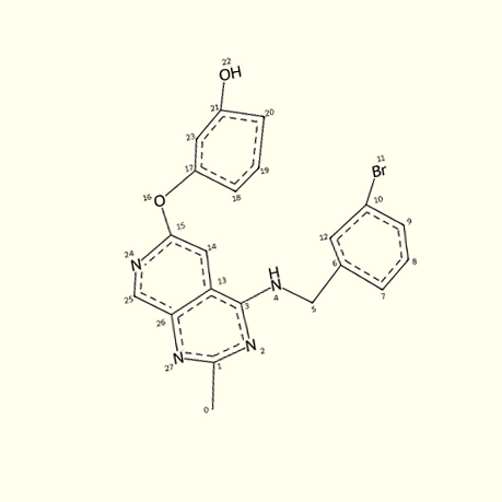 Cc1nc(NCc2cccc(Br)c2)c2cc(Oc3cccc(O)c3)ncc2n1